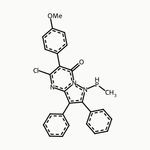 COc1ccc(-c2c(Cl)nc3c(-c4ccccc4)c(-c4ccccc4)n(PC)n3c2=O)cc1